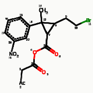 CC(=O)CC(=O)OC(=O)C1C(CCBr)C1(C)c1cccc([N+](=O)[O-])c1